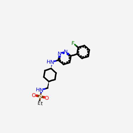 CCS(=O)(=O)NC[C@H]1CC[C@H](Nc2ccc(-c3ccccc3F)nn2)CC1